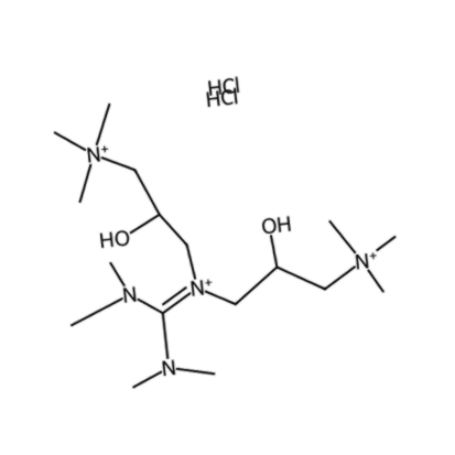 CN(C)C(N(C)C)=[N+](CC(O)C[N+](C)(C)C)CC(O)C[N+](C)(C)C.Cl.Cl